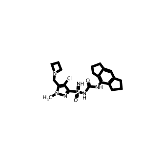 Cn1nc(S(=N)(=O)NC(=O)Nc2c3c(cc4c2CCC4)CCC3)c(Cl)c1CN1CCC1